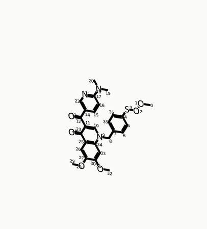 COOSc1ccc(Cn2cc(C(=O)c3ccc(N(C)C)nc3)c(=O)c3cc(OC)c(OC)cc32)cc1